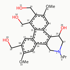 CCCN1Cc2c(c3cc(OC)c(CO)c(CO)c3c3cc(CO)c(OC)cc23)C(O)C1